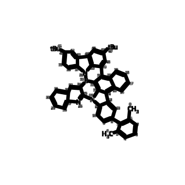 Cc1cccc(C)c1-c1ccc2c(c1)c1c3ccccc3c3c4c1n2-c1nc2ccccc2cc1B4n1c2ccc(C(C)(C)C)cc2c2cc(C(C)(C)C)cc-3c21